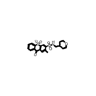 Cc1cc2c(cc1S(=O)(=O)NCC1CCOCC1)S(=O)(=O)c1ccccc1C2=O